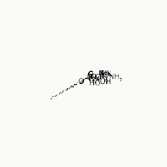 CCCCCCCCCCCCCCCCCCOCCCOP(=O)(O)OC[C@H]1O[C@@](C#N)(c2ccc3c(N)ncnn23)[C@H](O)[C@@H]1O